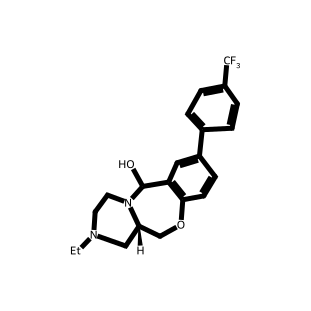 CCN1CCN2C(O)c3cc(-c4ccc(C(F)(F)F)cc4)ccc3OC[C@@H]2C1